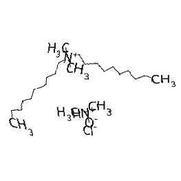 CCCCCCCCCC[N+](C)(C)CCCCCCCCCC.C[NH+](C)[O-].[Cl-]